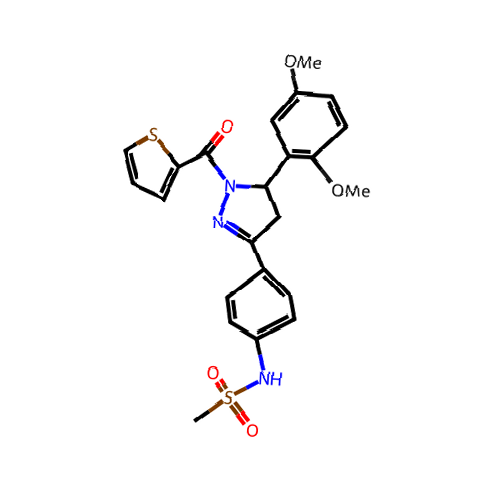 COc1ccc(OC)c(C2CC(c3ccc(NS(C)(=O)=O)cc3)=NN2C(=O)c2cccs2)c1